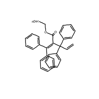 C=CC(C(C(=O)OCCCCCCCCCCC)=C(c1ccccc1)c1ccccc1)(c1ccccc1)c1ccccc1